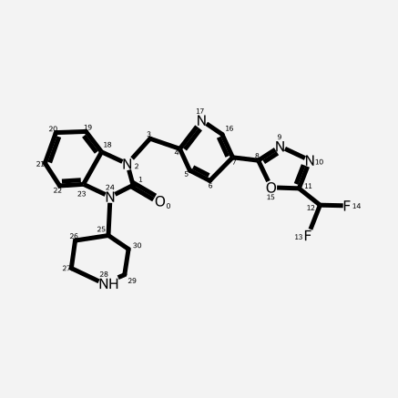 O=c1n(Cc2ccc(-c3nnc(C(F)F)o3)cn2)c2ccccc2n1C1CCNCC1